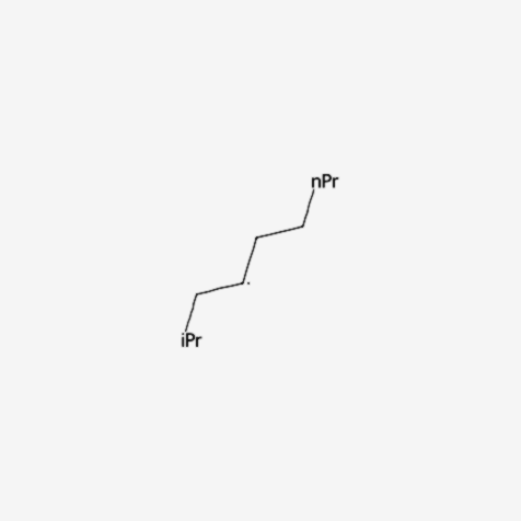 CCCCC[CH]CC(C)C